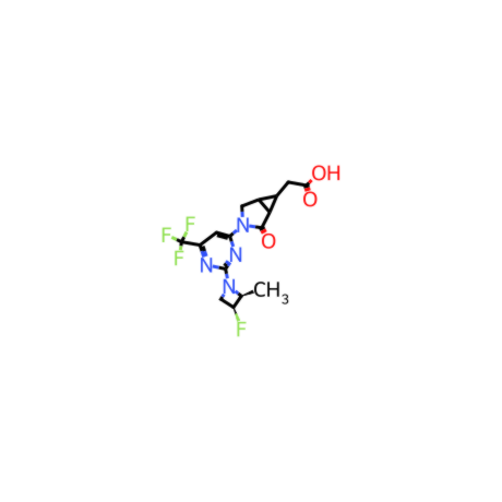 C[C@H]1[C@@H](F)CN1c1nc(N2CC3C(CC(=O)O)C3C2=O)cc(C(F)(F)F)n1